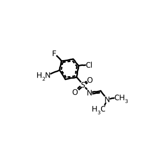 CN(C)C=NS(=O)(=O)c1cc(N)c(F)cc1Cl